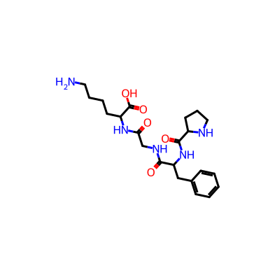 NCCCCC(NC(=O)CNC(=O)C(Cc1ccccc1)NC(=O)C1CCCN1)C(=O)O